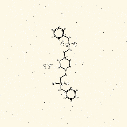 CC[N+](CC)(CCN1CCN(CC[N+](CC)(CC)Cc2ccccc2)CC1)Cc1ccccc1.[Cl-].[Cl-]